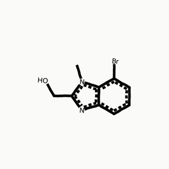 Cn1c(CO)nc2cccc(Br)c21